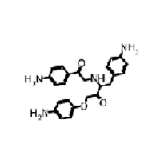 Nc1ccc(CC(NCC(=O)c2ccc(N)cc2)C(=O)COc2ccc(N)cc2)cc1